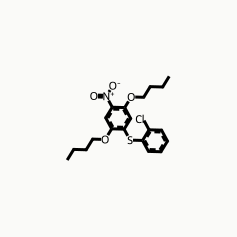 CCCCOc1cc([N+](=O)[O-])c(OCCCC)cc1Sc1ccccc1Cl